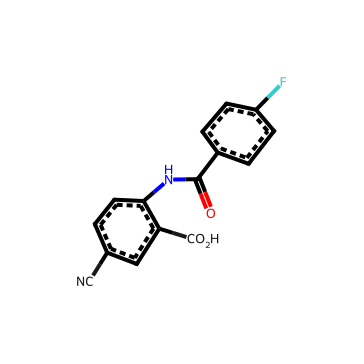 N#Cc1ccc(NC(=O)c2ccc(F)cc2)c(C(=O)O)c1